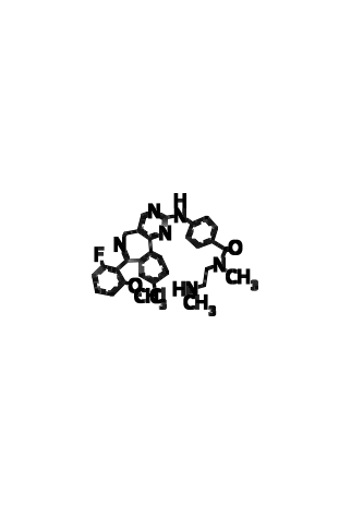 CNCCN(C)C(=O)c1ccc(Nc2ncc3c(n2)-c2ccc(Cl)cc2C(c2c(F)cccc2OC)=NC3)cc1